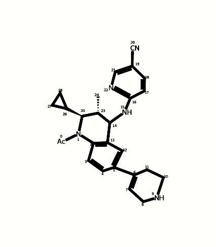 CC(=O)N1c2ccc(C3=CCNCC3)cc2C(Nc2ccc(C#N)cn2)[C@@H](C)[C@@H]1C1CC1